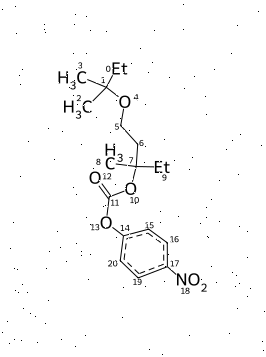 CCC(C)(C)OCCC(C)(CC)OC(=O)Oc1ccc([N+](=O)[O-])cc1